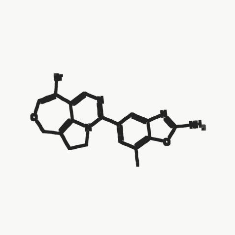 Cc1cc(C2=NC=C3C(Br)=COCC4=C3N2CC4)cc2nc(N)oc12